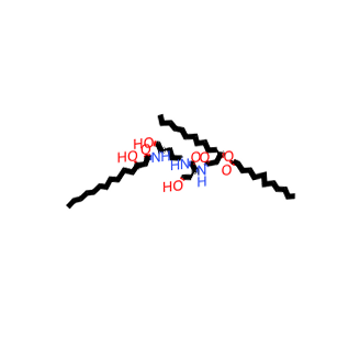 CCCCCCCCCCCC(=O)O[C@H](CCCCCCCCCCC)CC(=O)N[C@@H](CCO)C(=O)NCCC[C@H](CO)NC(=O)C[C@H](O)CCCCCCCCCCC